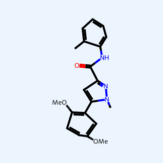 COc1ccc(OC)c(-c2cc(C(=O)Nc3ccccc3C)nn2C)c1